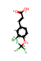 O=C(O)C=Cc1ccc(OC(F)(F)F)c(Br)c1